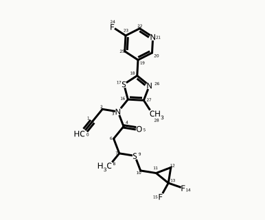 C#CCN(C(=O)CC(C)SCC1CC1(F)F)c1sc(-c2cncc(F)c2)nc1C